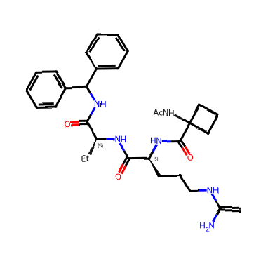 C=C(N)NCCC[C@H](NC(=O)C1(NC(C)=O)CCC1)C(=O)N[C@@H](CC)C(=O)NC(c1ccccc1)c1ccccc1